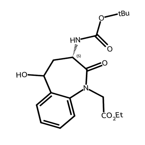 CCOC(=O)CN1C(=O)[C@@H](NC(=O)OC(C)(C)C)CC(O)c2ccccc21